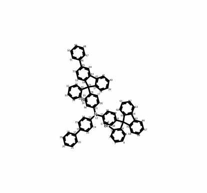 Brc1ccccc1C1(c2ccc(N(c3ccc(-c4ccccc4)cc3)c3ccc(C4(c5ccccc5Br)c5ccccc5-c5cc(-c6ccccc6)ccc54)cc3)cc2)c2ccccc2-c2ccccc21